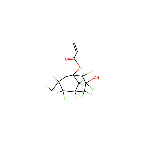 C=CC(=O)OC12CC(F)(CF)C(F)(F)C(F)(C(F)(F)C(O)(F)C1(F)F)C2(F)F